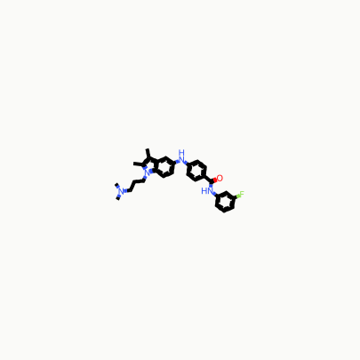 Cc1c(C)n(CCCN(C)C)c2ccc(Nc3ccc(C(=O)Nc4cccc(F)c4)cc3)cc12